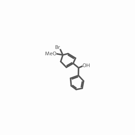 COC1(Br)C=CC(C(O)c2ccccc2)=CC1